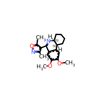 COc1cc2c(cc1OC)[C@@H]1CCCC[C@@H]1N=C2c1c(C)noc1C